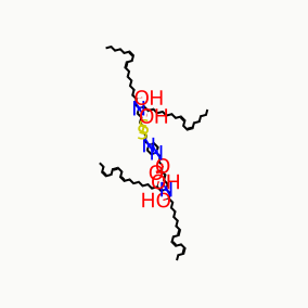 CC/C=C\C/C=C\C/C=C\CCCCCC[C@@H](O)CN(CCCC(=O)OCCN1CCN(CCSSCCCN(C[C@@H](O)CCCCCC/C=C\C/C=C\CCCCC)C[C@@H](O)CCCCCC/C=C\C/C=C\CCCCC)CC1)C[C@H](O)CCCCCC/C=C\C/C=C\C/C=C\CC